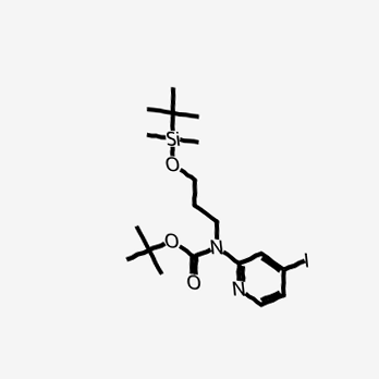 CC(C)(C)OC(=O)N(CCCO[Si](C)(C)C(C)(C)C)c1cc(I)ccn1